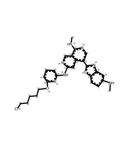 CNc1ccc2oc(-c3cnc(NC)c4cnc(Nc5cccc(OCCCCCCl)n5)cc34)nc2c1